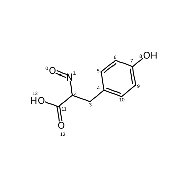 O=NC(Cc1ccc(O)cc1)C(=O)O